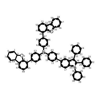 C1=CC2Oc3c(-c4ccc(N(c5ccc(-c6ccc7c(c6)c(-c6ccccc6)c(-c6ccccc6)n7-c6ccccc6)cc5)c5ccc(-c6cccc7c6oc6ccccc67)cc5)cc4)cccc3C2C=C1